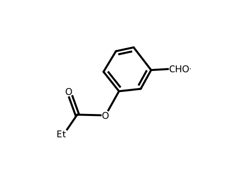 CCC(=O)Oc1cccc([C]=O)c1